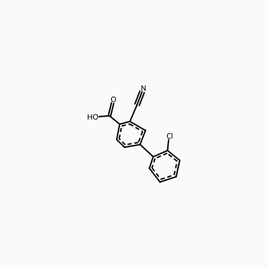 N#Cc1cc(-c2ccccc2Cl)ccc1C(=O)O